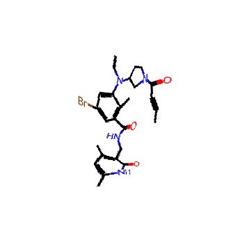 CC#CC(=O)N1CCC(N(CC)c2cc(Br)cc(C(=O)NCc3c(C)cc(C)[nH]c3=O)c2C)C1